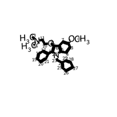 COc1ccc2c(c1)c(OCCN(C)C)c(-c1ccccc1)n2Cc1ccccc1